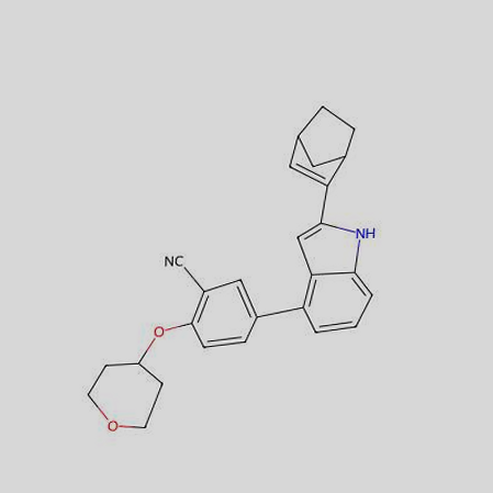 N#Cc1cc(-c2cccc3[nH]c(C4=CC5CCC4C5)cc23)ccc1OC1CCOCC1